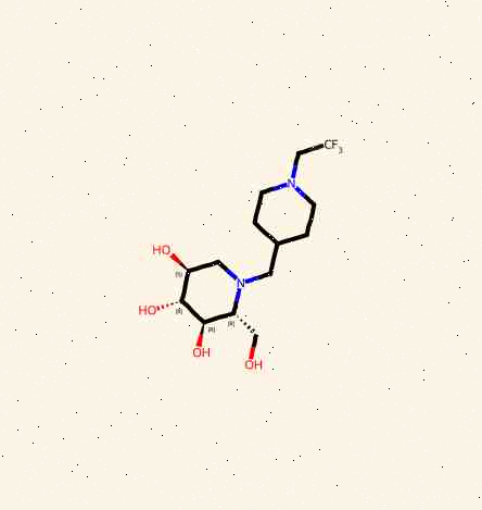 OC[C@@H]1[C@@H](O)[C@H](O)[C@@H](O)CN1CC1CCN(CC(F)(F)F)CC1